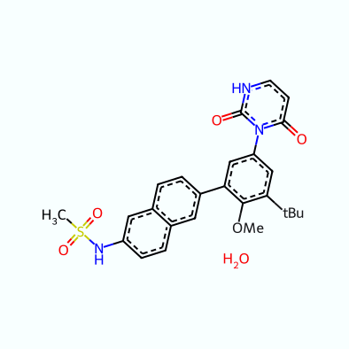 COc1c(-c2ccc3cc(NS(C)(=O)=O)ccc3c2)cc(-n2c(=O)cc[nH]c2=O)cc1C(C)(C)C.O